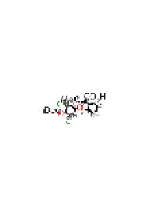 CCCCCCCCCCOc1c(Cl)cc(OCc2ccccc2C(=COC)C(=O)O)cc1Cl